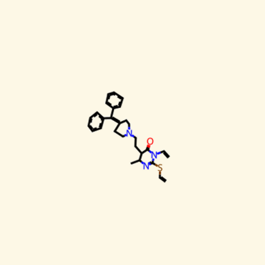 C=CSC1=NC(C)C(CCN2CCC(=C(c3ccccc3)c3ccccc3)CC2)C(=O)N1C=C